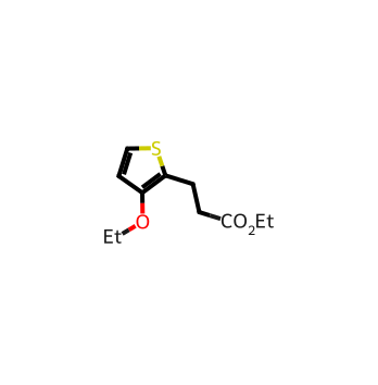 CCOC(=O)CCc1sccc1OCC